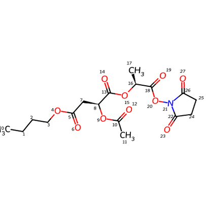 CCCCOC(=O)C[C@H](OC(C)=O)C(=O)O[C@@H](C)C(=O)ON1C(=O)CCC1=O